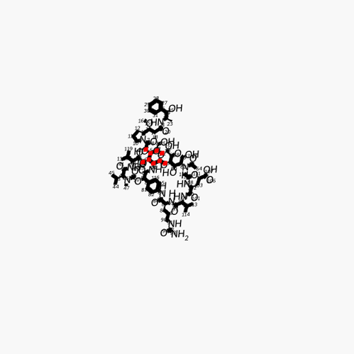 CC[C@H](C)[C@@H]([C@@H](CC(=O)N1CCC[C@H]1[C@H](OC)[C@@H](C)C(=O)N[C@H](C)[C@@H](O)c1ccccc1)OC)N(C)C(=O)[C@@H](NC(=O)[C@H](C(C)C)N(C)C(=O)OC(C(=O)N[C@H]1[C@H](O[C@H]2[C@H](O)[C@@H](NC(C)=O)[C@H](O)O[C@@H]2CO)O[C@H](CO)[C@@H](O)[C@@H]1O)c1ccc(NC(=O)[C@H](CCCNC(N)=O)NC(=O)[C@@H](NC(=O)[C@H](CCC(=O)O)NC(C)=O)C(C)C)cc1)C(C)C